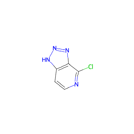 Clc1nccc2[nH]nnc12